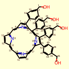 OCc1ccc(C2=CC3=CC4=NC(=CC5=NC(=CC6=NC(=C(c7ccc(CO)cc7)C2=N3)C(c2ccc(CO)cc2)=C6c2ccc(CO)cc2)C=C5)C=C4)cc1